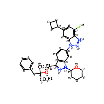 CCOC(=O)C(Cc1ccccc1)(OCc1nn(C2CCCCO2)c2cc(-n3nnc4c(F)cc(C5CCC5)cc43)ccc12)C(=O)OCC